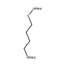 [CH2]CCCCCCCCCSCCCCCC